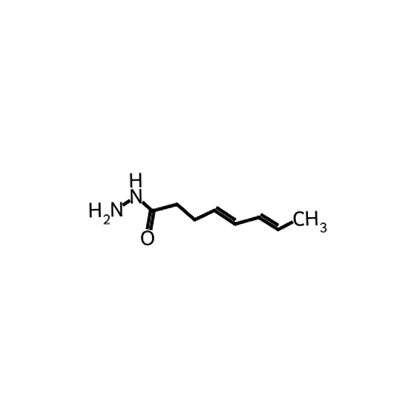 C/C=C/C=C/CCC(=O)NN